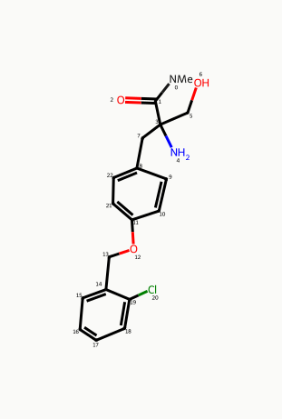 CNC(=O)C(N)(CO)Cc1ccc(OCc2ccccc2Cl)cc1